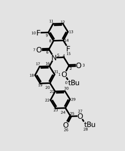 CC(C)(C)OC(=O)CN(C(=O)c1c(F)cccc1F)c1cccc(-c2ccc(C(=O)OC(C)(C)C)cc2)c1